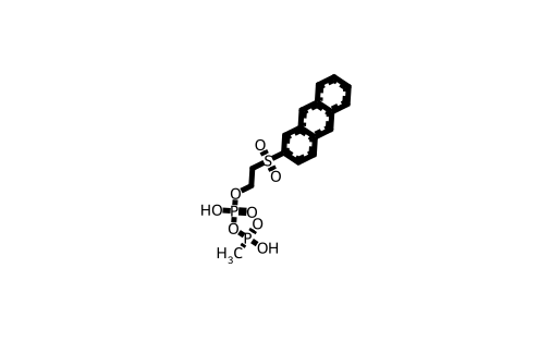 CP(=O)(O)OP(=O)(O)OCCS(=O)(=O)c1ccc2cc3ccccc3cc2c1